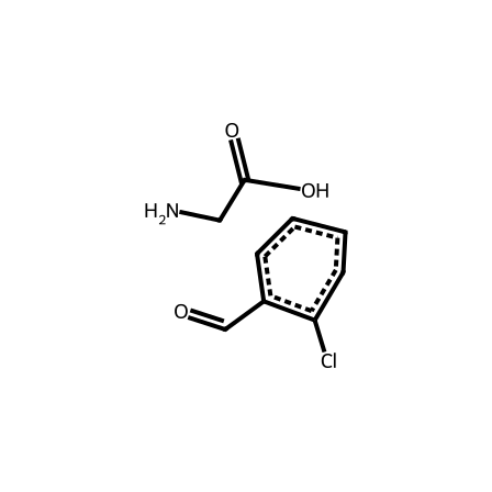 NCC(=O)O.O=Cc1ccccc1Cl